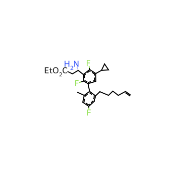 C=CCCCCc1cc(F)cc(C)c1-c1cc(C2CC2)c(F)c([C@@H](N)CC(=O)OCC)c1F